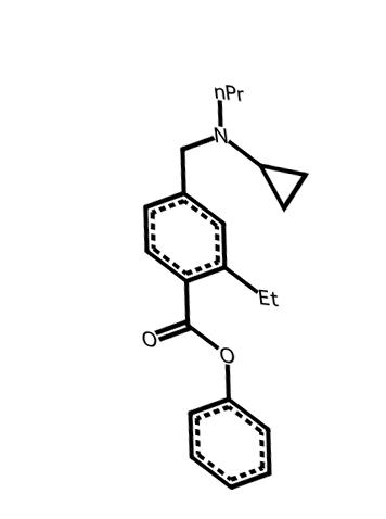 CCCN(Cc1ccc(C(=O)Oc2ccccc2)c(CC)c1)C1CC1